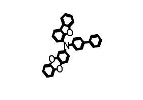 c1ccc(-c2ccc(N(c3ccc4c(c3)Oc3ccccc3O4)c3cccc4c3oc3ccccc34)cc2)cc1